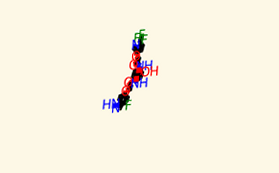 O=C(COc1cc(F)c2cn[nH]c2c1)NC12CCC(NC(=O)COc3ccc(C(F)(F)F)nc3)(CC1)C(O)C2